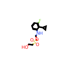 O=S(=O)(CCO)OCNc1cccc(F)c1C1CC1